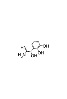 N=C(N)C(O)c1cccc(O)c1O